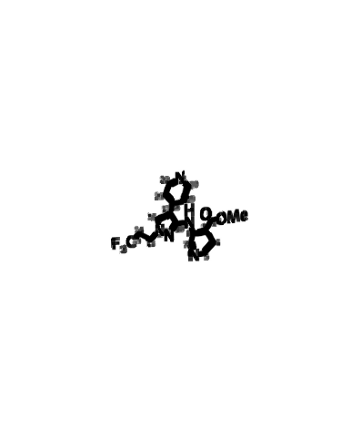 COC(=O)c1ccncc1Nc1nn(CCC(F)(F)F)cc1-c1ccncc1